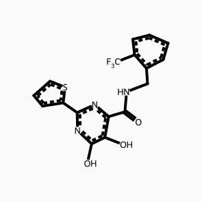 O=C(NCc1ccccc1C(F)(F)F)c1nc(-c2cccs2)nc(O)c1O